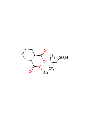 CC(C)(C)OC(=O)C1CCCCC1C(=O)OC(CS(=O)(=O)O)(C(F)(F)F)C(F)(F)F